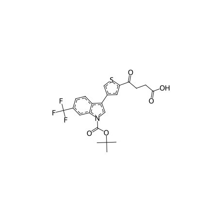 CC(C)(C)OC(=O)n1cc(-c2csc(C(=O)CCC(=O)O)c2)c2ccc(C(F)(F)F)cc21